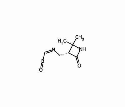 CC1(C)NC(=O)[C@@H]1C/N=C\B=O